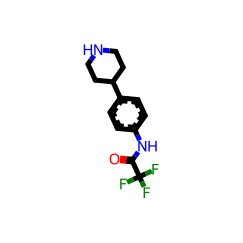 O=C(Nc1ccc(C2CCNCC2)cc1)C(F)(F)F